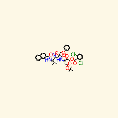 CC(C)[C@H](NC(=O)c1ccc2ccccc2c1)C1=NOC(COc2ccccc2)(C(=O)N[C@@H](CC(=O)OC(C)(C)C)C(=O)COC(=O)c2c(Cl)cccc2Cl)C1